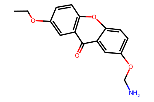 CCOc1ccc2oc3ccc(OCN)cc3c(=O)c2c1